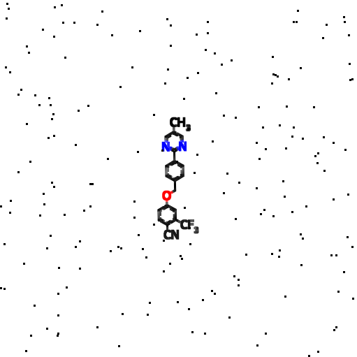 Cc1cnc(-c2ccc(COc3ccc(C#N)c(C(F)(F)F)c3)cc2)nc1